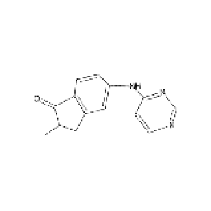 CC1Cc2cc(Nc3ccncn3)ccc2C1=O